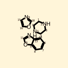 C1CNCCN1.c1ccc2ocnc2c1.c1cocn1